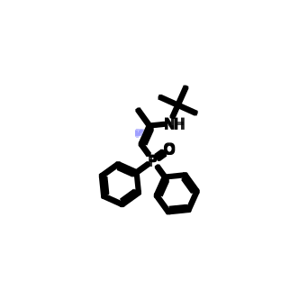 C/C(=C/P(=O)(c1ccccc1)c1ccccc1)NC(C)(C)C